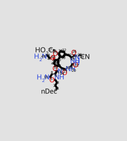 CCCCCCCCCCCCCC(=O)N[C@@H](CCN)C(=O)N(C)[C@@H]1C(=O)N[C@@H](C)C(=O)N[C@H](C(=O)NCC#N)Cc2ccc(OCC(=O)O)c(c2)-c2cc1ccc2OCCN